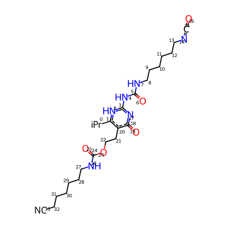 CC(C)c1[nH]c(NC(=O)NCCCCCCN=C=O)nc(=O)c1CCOC(=O)NCCCCCCC#N